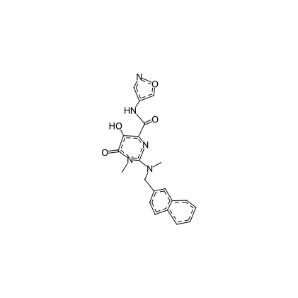 CN(Cc1ccc2ccccc2c1)c1nc(C(=O)Nc2cnoc2)c(O)c(=O)n1C